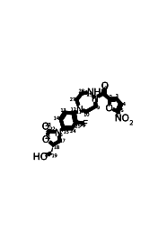 O=C(c1ccc([N+](=O)[O-])o1)N1CCN(c2ccc(N3C[C@H](CO)OC3=O)cc2F)CCN1